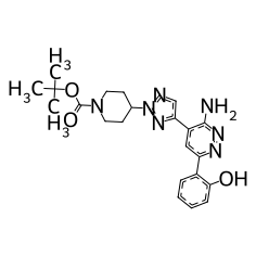 CC(C)(C)OC(=O)N1CCC(n2ncc(-c3cc(-c4ccccc4O)nnc3N)n2)CC1